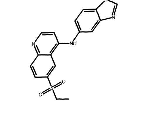 CCS(=O)(=O)c1ccc2nccc(Nc3ccc4scnc4c3)c2c1